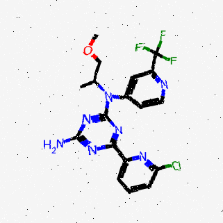 COCC(C)N(c1ccnc(C(F)(F)F)c1)c1nc(N)nc(-c2cccc(Cl)n2)n1